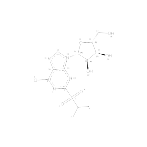 CC(C)S(=O)(=O)c1nc(Cl)c2ncn([C@@H]3O[C@H](CO)[C@@H](O)[C@H]3O)c2n1